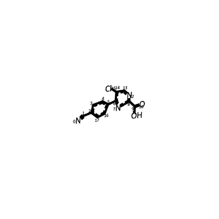 N#Cc1ccc(-c2nc(C(=O)O)ncc2Cl)cc1